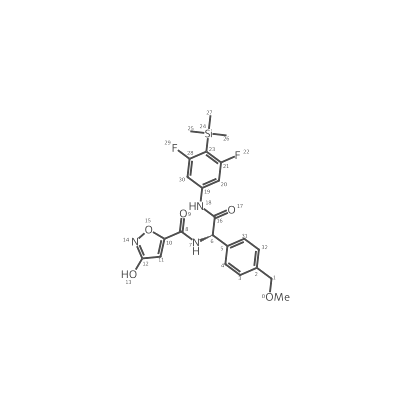 COCc1ccc([C@@H](NC(=O)c2cc(O)no2)C(=O)Nc2cc(F)c([Si](C)(C)C)c(F)c2)cc1